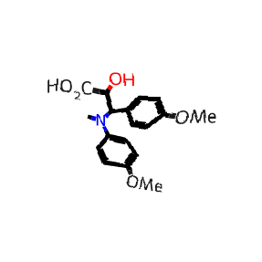 COc1ccc(C(C(O)C(=O)O)N(C)c2ccc(OC)cc2)cc1